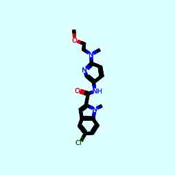 COCCN(C)c1ccc(NC(=O)c2cc3cc(Cl)ccc3n2C)cn1